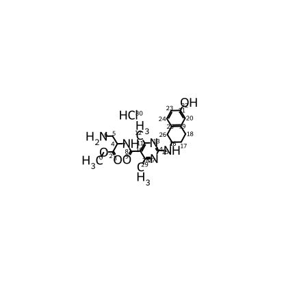 COC(=O)C(CN)NC(=O)c1c(C)nc(NC2CCc3cc(O)ccc3C2)nc1C.Cl